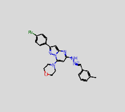 Cc1cccc(/C=N/Nc2cc(N3CCOCC3)n3nc(-c4ccc(Br)cc4)cc3n2)c1